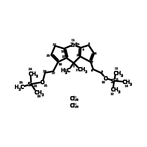 CC1(C)C2=[C](CC=C2CCO[Si](C)(C)C)[Zr+2][C]2=C1C(CCO[Si](C)(C)C)=CC2.[Cl-].[Cl-]